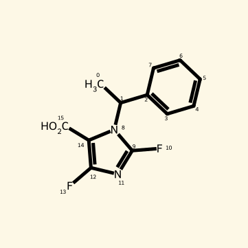 CC(c1ccccc1)n1c(F)nc(F)c1C(=O)O